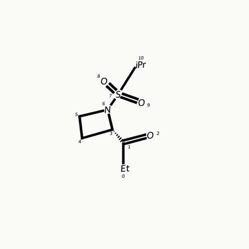 CCC(=O)[C@@H]1CCN1S(=O)(=O)C(C)C